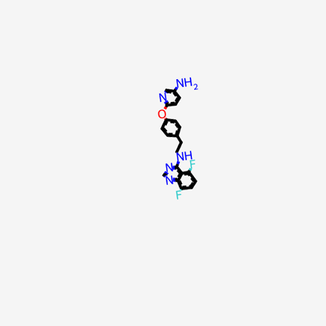 Nc1ccc(Oc2ccc(CCNc3ncnc4c(F)ccc(F)c34)cc2)nc1